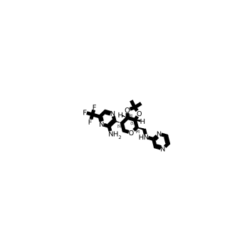 CC1(C)O[C@H]2[C@H](O1)[C@@H](CNc1cnccn1)OC[C@@H]2c1ncc(C(F)(F)F)nc1N